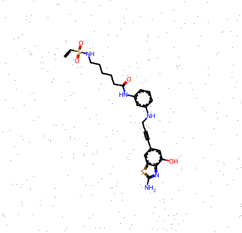 C=CS(=O)(=O)NCCCCCC(=O)Nc1cccc(NCC#Cc2cc(O)c3nc(N)sc3c2)c1